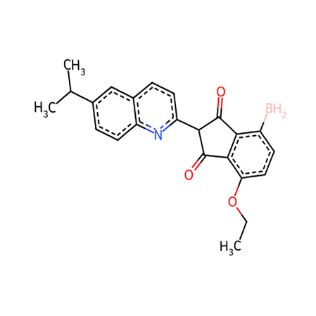 Bc1ccc(OCC)c2c1C(=O)C(c1ccc3cc(C(C)C)ccc3n1)C2=O